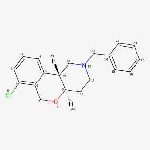 Clc1cccc2c1CO[C@@H]1CCN(Cc3ccccc3)C[C@@H]21